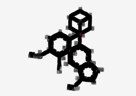 COc1ncc(CN2C3CC2CN(c2ccc4c(C#N)cnn4c2)C3)cc1F